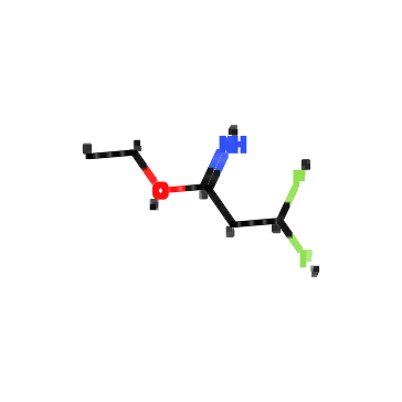 CCOC(=N)CC(F)F